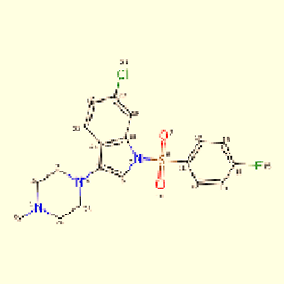 CN1CCN(c2cn(S(=O)(=O)c3ccc(F)cc3)c3cc(Cl)ccc23)CC1